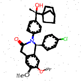 COc1cc2c(cc1OC(C)C)[C@H](c1ccc(Cl)cc1)N(c1ccc([C@](C)(O)C34CCC(CC3)C4)cc1)C(=O)C2